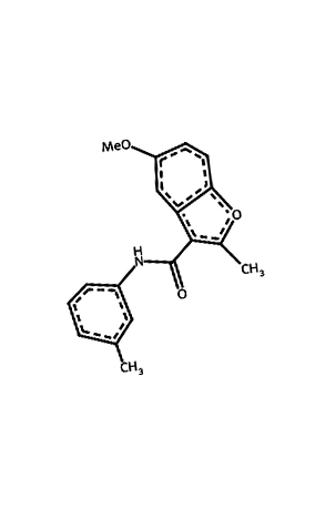 COc1ccc2oc(C)c(C(=O)Nc3cccc(C)c3)c2c1